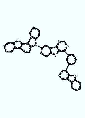 c1cc(-c2cccc3c2sc2ccccc23)cc(-c2ncnc3c2sc2ccc(-n4c5ccccc5c5c6sc7ccccc7c6ccc54)cc23)c1